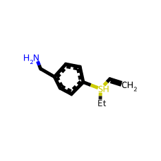 C=C[SH](CC)c1ccc(CN)cc1